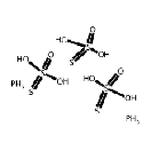 O=S(O)(O)=S.O=S(O)(O)=S.O=S(O)(O)=S.P.P